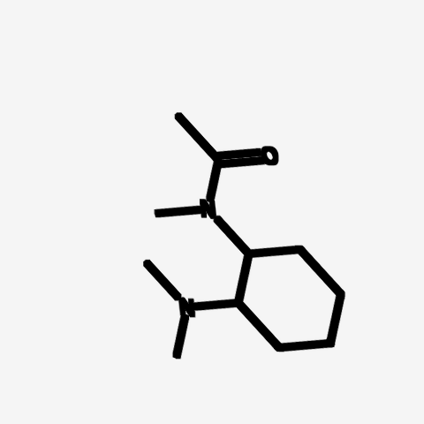 CC(=O)N(C)C1CCCCC1N(C)C